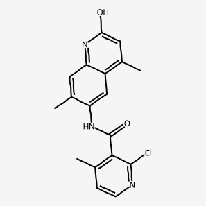 Cc1cc2nc(O)cc(C)c2cc1NC(=O)c1c(C)ccnc1Cl